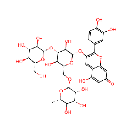 C[C@@H]1O[C@@H](OC[C@H]2O[C@@H](Oc3cc4c(O)cc(=O)cc-4oc3-c3ccc(O)c(O)c3)[C@H](O)[C@@H](O[C@@H]3O[C@H](CO)[C@@H](O)[C@H](O)[C@H]3O)[C@@H]2O)[C@H](O)[C@H](O)[C@H]1O